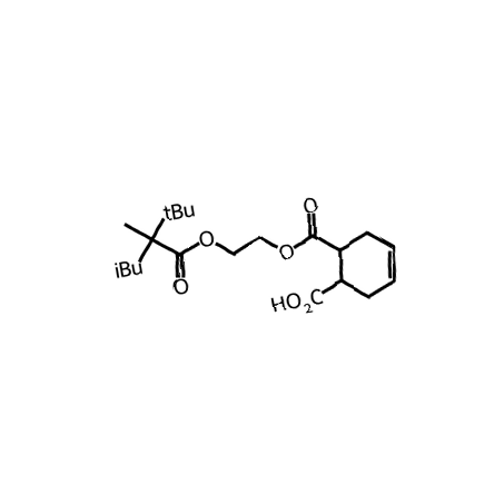 CCC(C)C(C)(C(=O)OCCOC(=O)C1CC=CCC1C(=O)O)C(C)(C)C